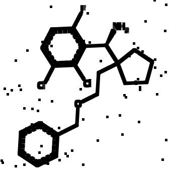 N[C@H](c1c(F)ccc(Cl)c1Cl)C1(CCOCc2ccccc2)CCCC1